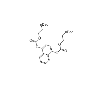 CCCCCCCCCCCCOC(=O)Oc1ccc(OC(=O)OCCCCCCCCCCCC)c2ccccc12